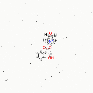 C[N+]1(C)[C@H]2C[C@H](OC(=O)[C@H](CO)c3ccccc3)C[C@H]1[C@H]1O[C@H]12